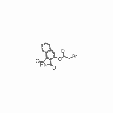 O=C(CBr)Oc1cc2ccccc2c2c1C(=O)NC2=O